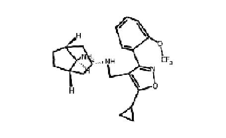 N[C@@H]1[C@@H]2CC[C@H]1C[C@@H](NCc1c(-c3ccccc3OC(F)(F)F)noc1C1CC1)C2